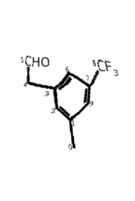 Cc1cc(CC=O)cc(C(F)(F)F)c1